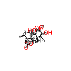 C=C1CC[C@H]2[C@@]3(C)[C@@H](C[C@H]4C(C)=C(O)C(=O)C(O)(O)[C@@]42C)OC(=O)C[C@@H]13